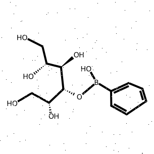 OC[C@@H](O)[C@@H](O)[C@H](OB(O)c1ccccc1)[C@H](O)CO